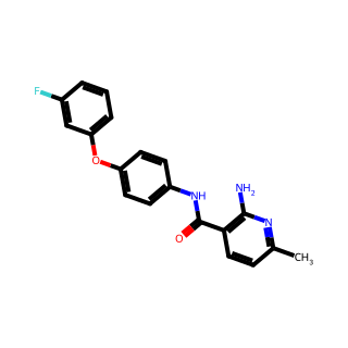 Cc1ccc(C(=O)Nc2ccc(Oc3cccc(F)c3)cc2)c(N)n1